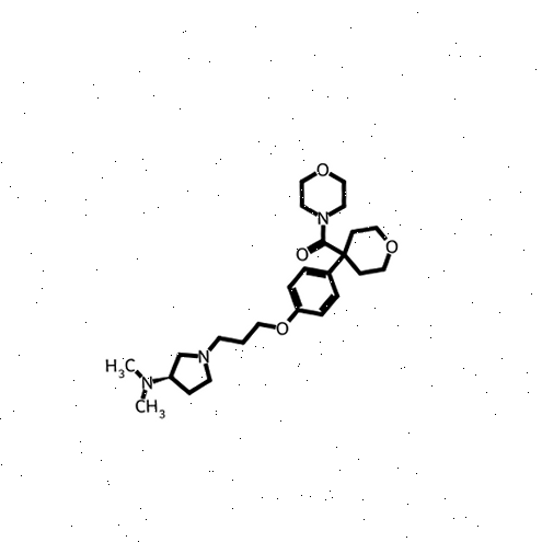 CN(C)[C@@H]1CCN(CCCOc2ccc(C3(C(=O)N4CCOCC4)CCOCC3)cc2)C1